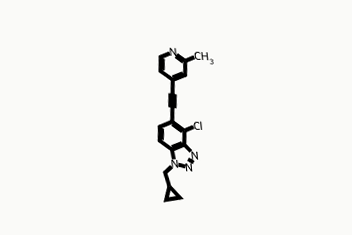 Cc1cc(C#Cc2ccc3c(nnn3CC3CC3)c2Cl)ccn1